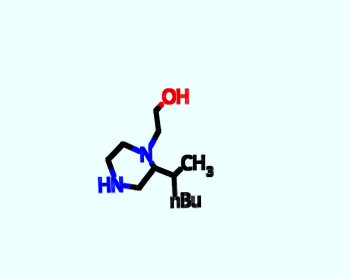 CCCCC(C)C1CNCCN1CCO